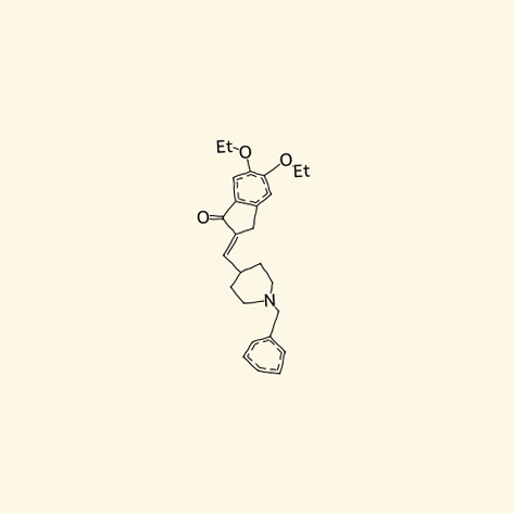 CCOc1cc2c(cc1OCC)C(=O)C(=CC1CCN(Cc3ccccc3)CC1)C2